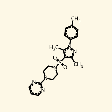 Cc1ccc(-n2nc(C)c(S(=O)(=O)N3CCN(c4ncccn4)CC3)c2C)cc1